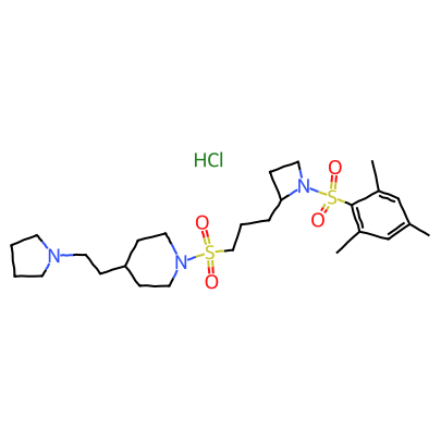 Cc1cc(C)c(S(=O)(=O)N2CCC2CCCS(=O)(=O)N2CCC(CCN3CCCC3)CC2)c(C)c1.Cl